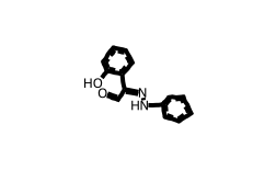 O=CC(=NNc1ccccc1)c1ccccc1O